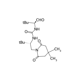 CC1(C)CC(=O)N(C[C@@H](NC(=O)N[C@H](C=O)C(C)(C)C)C(C)(C)C)C(=O)C1